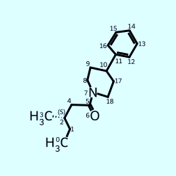 CC[C@H](C)CC(=O)N1CCC(c2ccccc2)CC1